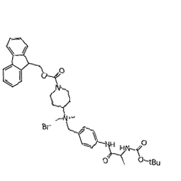 CC(NC(=O)OC(C)(C)C)C(=O)Nc1ccc(C[N+](C)(C)C2CCN(C(=O)OCC3c4ccccc4-c4ccccc43)CC2)cc1.[Br-]